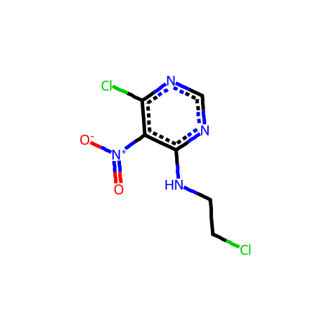 O=[N+]([O-])c1c(Cl)ncnc1NCCCl